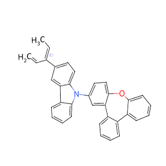 C=C/C(=C\C)c1ccc2c(c1)c1ccccc1n2-c1ccc2c(c1)-c1ccccc1-c1ccccc1O2